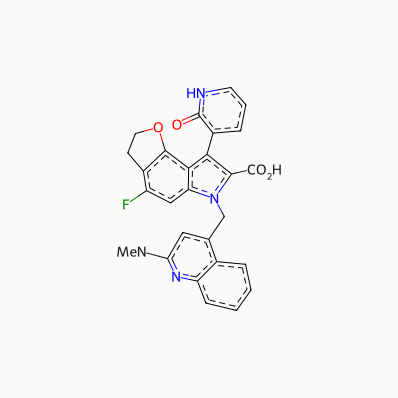 CNc1cc(Cn2c(C(=O)O)c(-c3ccc[nH]c3=O)c3c4c(c(F)cc32)CCO4)c2ccccc2n1